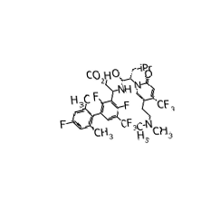 Cc1cc(F)cc(C)c1-c1cc(C(F)(F)F)c(F)c(C(CC(=O)O)NC(=O)C(CC(C)C)n2cc(CCN(C)C)c(C(F)(F)F)cc2=O)c1F